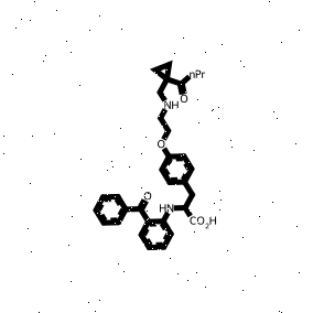 CCCC(=O)C1(CNCCOc2ccc(CC(Nc3ccccc3C(=O)c3ccccc3)C(=O)O)cc2)CC1